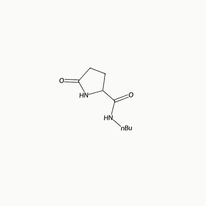 [CH2]CCCNC(=O)C1CCC(=O)N1